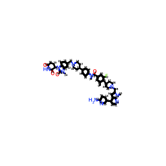 Cc1cc(C(=O)N(C)c2ccc(C3CCN(Cc4ccc5c(c4)n(C)c(=O)n5C4CCC(=O)NC4=O)CC3)cc2)cc(F)c1C1=CCN(Cc2cc3c(-c4ccc(N)nc4)ccnc3n2C)CC1